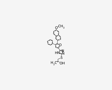 C=C(O)CSc1nnc(-c2cc(-c3ccccc3)c(-c3ccc4cc(OC)ccc4c3)o2)[nH]1